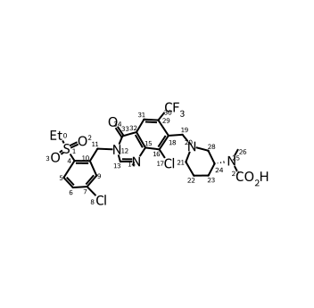 CCS(=O)(=O)c1ccc(Cl)cc1Cn1cnc2c(Cl)c(CN3CCC[C@@H](N(C)C(=O)O)C3)c(C(F)(F)F)cc2c1=O